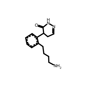 NCCCCc1ccccc1C1CC=NNC1=O